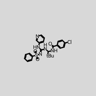 CC(C)(C)C(NC(=O)c1ccc(Cl)cc1)N/C(=N/S(=O)(=O)c1ccccc1)Nc1cccnc1